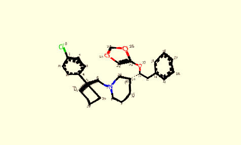 Clc1ccc(C2(CN3CCC[C@@H](C(Cc4ccccc4)OC4=COCO4)C3)CCC2)cc1